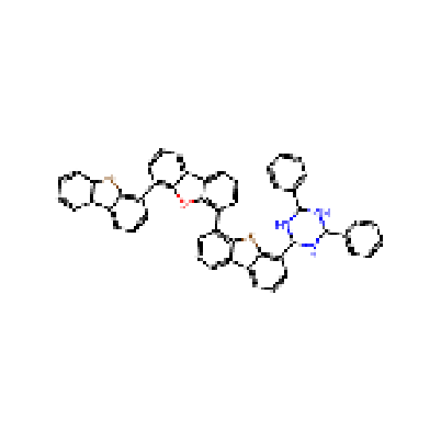 C1=CC2Sc3c(-c4cccc5c4oc4c(-c6cccc7c6sc6c(C8NC(c9ccccc9)NC(c9ccccc9)N8)cccc67)cccc45)cccc3C2C=C1